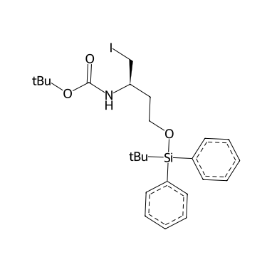 CC(C)(C)OC(=O)N[C@@H](CI)CCO[Si](c1ccccc1)(c1ccccc1)C(C)(C)C